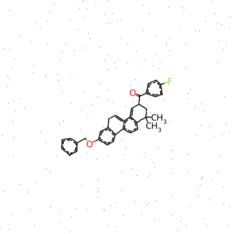 CC1(C)CC(C(=O)c2ccc(F)cc2)C=c2c1ccc1c2=CCc2cc(OCc3ccccc3)ccc2-1